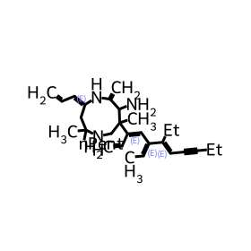 C=C/C=C1\CC(C)(CCCCC)NCC(C)(/C(C=C)=C/C(=C\C)C(=C/C#CCC)/CC)C(N)C(=C)N1